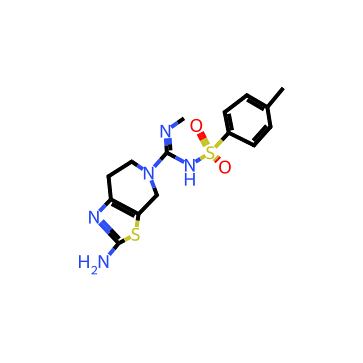 C/N=C(\NS(=O)(=O)c1ccc(C)cc1)N1CCc2nc(N)sc2C1